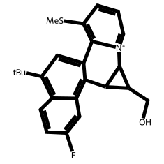 CSc1ccc[n+]2c1-c1cc(C(C)(C)C)c3ccc(F)cc3c1C1C(CO)C12